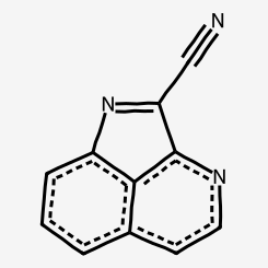 N#CC1=Nc2cccc3ccnc1c23